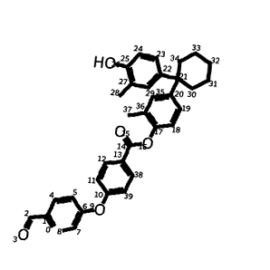 C=C(C=O)/C=C\C(=C/C)Oc1ccc(C(=O)Oc2ccc(C3(c4ccc(O)c(C)c4)CCCCC3)cc2C)cc1